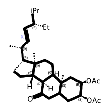 CC[C@H](/C=C/[C@@H](C)[C@H]1CC[C@H]2[C@@H]3C(=O)CC4C[C@H](OC(C)=O)[C@H](OC(C)=O)C[C@]4(C)[C@H]3CC[C@]12C)C(C)C